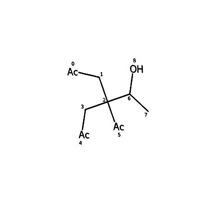 CC(=O)CC(CC(C)=O)(C(C)=O)C(C)O